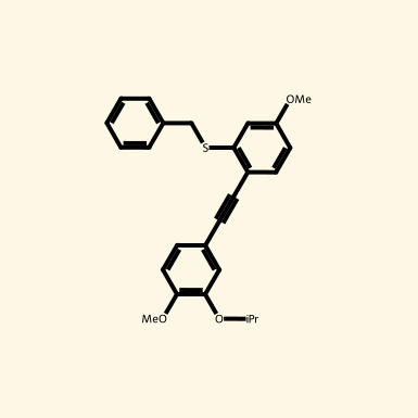 COc1ccc(C#Cc2ccc(OC)c(OC(C)C)c2)c(SCc2ccccc2)c1